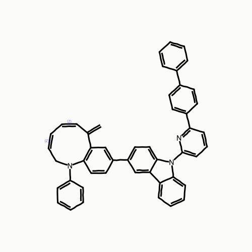 C=C1/C=C\C=C/CN(c2ccccc2)c2ccc(-c3ccc4c(c3)c3ccccc3n4-c3cccc(-c4ccc(-c5ccccc5)cc4)n3)cc21